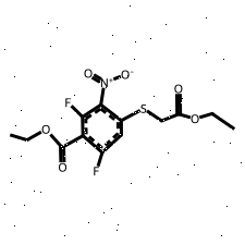 CCOC(=O)CSc1cc(F)c(C(=O)OCC)c(F)c1[N+](=O)[O-]